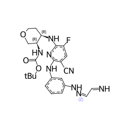 CC(C)(C)OC(=O)N[C@H]1COCC[C@H]1Nc1nc(Nc2cccc(N/N=C\C=N)c2)c(C#N)cc1F